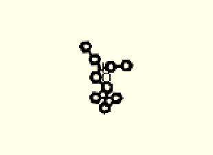 c1ccc(-c2ccc(N(c3ccc(-c4ccccc4)cc3)c3cccc4c3oc3ccc5c(c34)-c3ccccc3C53c4ccccc4-c4ccccc43)cc2)cc1